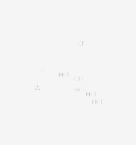 Cl.Cl.Cl.Cl.Cl.ClCC[O][W]